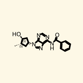 C[C@H]1C[C@@H](n2cnc3c(NC(=O)c4ccccc4)ncnc32)C[C@@H]1O